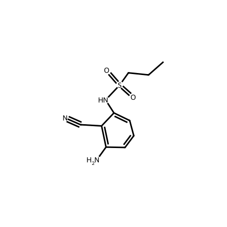 CCCS(=O)(=O)Nc1cccc(N)c1C#N